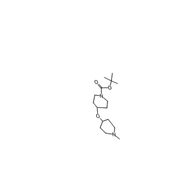 CN1CCC(OC2CCN(C(=O)OC(C)(C)C)CC2)CC1